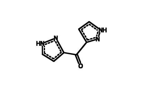 O=C(c1cc[nH]n1)c1cc[nH]n1